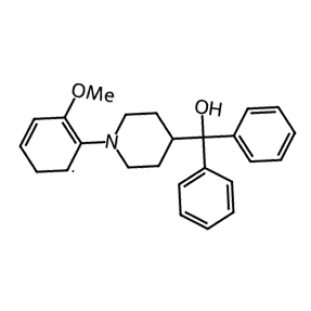 COC1=C(N2CCC(C(O)(c3ccccc3)c3ccccc3)CC2)[CH]CC=C1